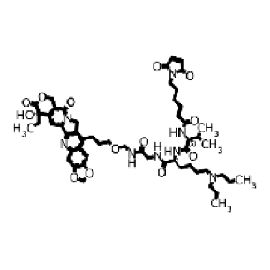 CCCN(CCC)CCCC[C@H](NC(=O)[C@@H](NC(=O)CCCCCN1C(=O)C=CC1=O)C(C)C)C(=O)NCC(=O)NCOCCCc1c2c(nc3cc4c(cc13)OCO4)-c1cc3c(c(=O)n1C2)COC(=O)[C@]3(O)CC